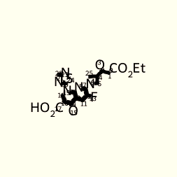 CCOC(=O)CC(=O)C1CN(c2nc3c(cc2F)c(=O)c(C(=O)O)cn3-c2ncns2)C1